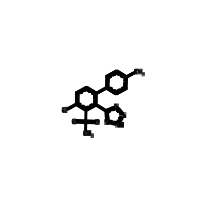 Cc1ccc(-c2ccc(Cl)c(S(C)(=O)=O)c2-c2nn[nH]n2)cc1